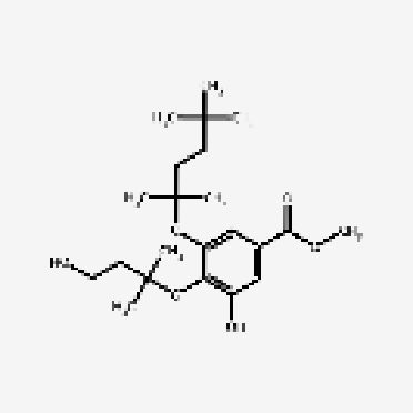 COC(=O)c1cc(O)c(OC(C)(C)CCO)c(OC(C)(C)CCC(C)(C)C)c1